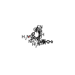 Cc1nc(-c2ccc(C3CCC3)cc2)nc(C)c1C(=O)NC(CCN)C(=O)N(C)C1C(=O)NC(C)C(=O)NC(C(=O)NCC#N)Cc2ccc(OCCN)c(c2)-c2cc1ccc2OCCN